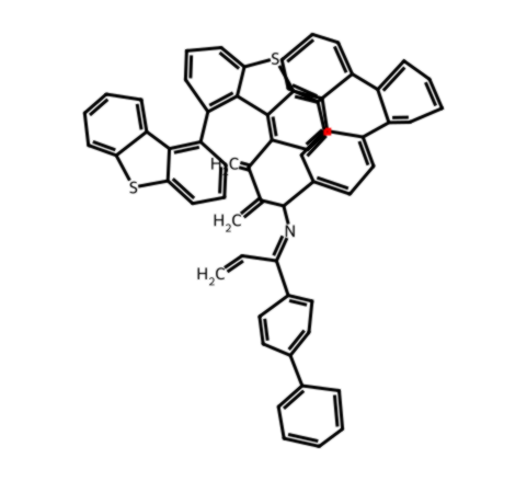 C=C/C(=N\C(C(=C)C(=C)c1cccc2sc3cccc(-c4cccc5sc6ccccc6c45)c3c12)c1ccc2c3ccccc3c3ccccc3c2c1)c1ccc(-c2ccccc2)cc1